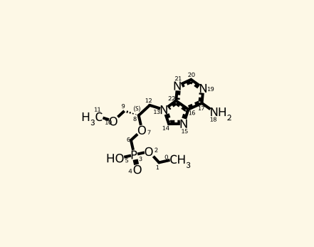 CCOP(=O)(O)CO[C@H](COC)Cn1cnc2c(N)ncnc21